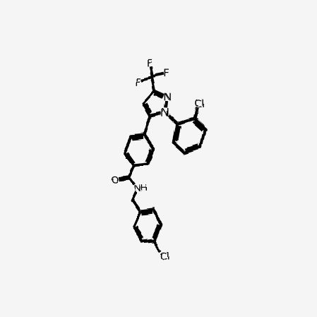 O=C(NCc1ccc(Cl)cc1)c1ccc(-c2cc(C(F)(F)F)nn2-c2ccccc2Cl)cc1